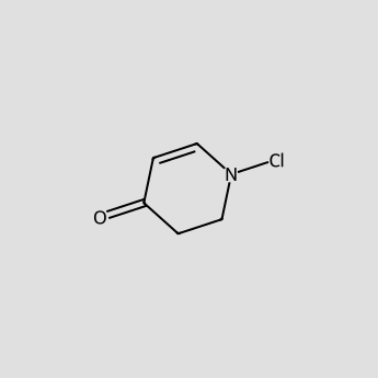 O=C1C=CN(Cl)CC1